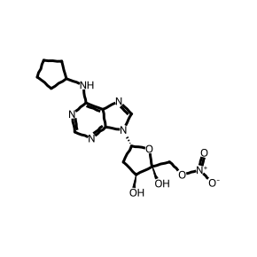 O=[N+]([O-])OC[C@@]1(O)O[C@@H](n2cnc3c(NC4CCCC4)ncnc32)C[C@@H]1O